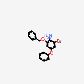 Nc1c(Br)cc(Oc2ccccc2)cc1OCc1ccccc1